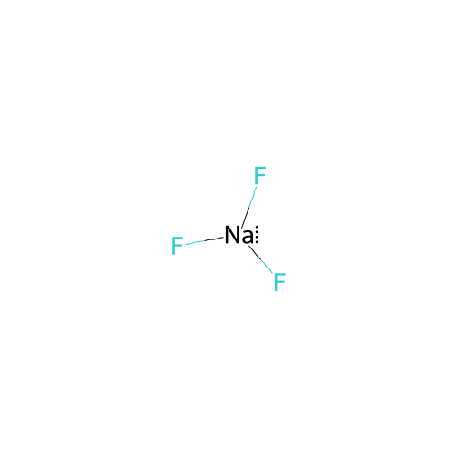 [F][Na]([F])[F]